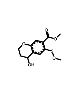 COSc1cc2c(cc1C(=O)OC)OCCC2O